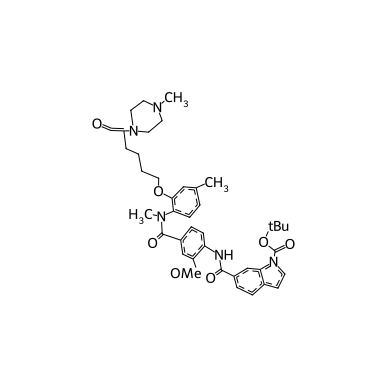 COc1cc(C(=O)N(C)c2ccc(C)cc2OCCCCC(=C=O)N2CCN(C)CC2)ccc1NC(=O)c1ccc2ccn(C(=O)OC(C)(C)C)c2c1